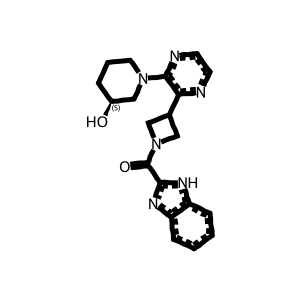 O=C(c1nc2ccccc2[nH]1)N1CC(c2nccnc2N2CCC[C@H](O)C2)C1